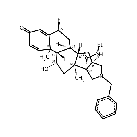 CCSC(=O)[C@@]12CN(Cc3ccccc3)C[C@@H]1C[C@H]1[C@@H]3C[C@H](F)C4=CC(=O)C=C[C@]4(C)[C@@]3(F)[C@@H](O)C[C@@]12C